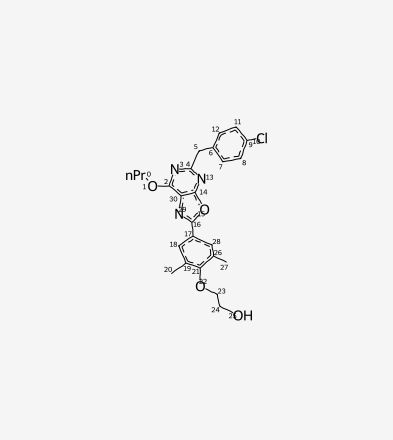 CCCOc1nc(Cc2ccc(Cl)cc2)nc2oc(-c3cc(C)c(OCCO)c(C)c3)nc12